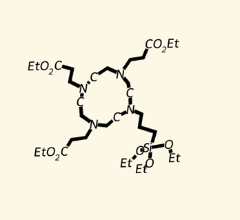 CCOC(=O)CCN1CCN(CCC[Si](OCC)(OCC)OCC)CCN(CCC(=O)OCC)CCN(CCC(=O)OCC)CC1